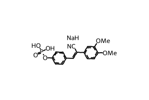 COc1ccc(C(C#N)=Cc2ccc(OP(=O)(O)O)cc2)cc1OC.[NaH]